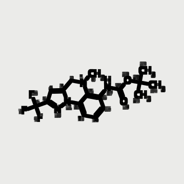 CN1Cc2cc(C(F)(F)F)nn2-c2cccc(NC(=O)OC(C)(C)C)c21